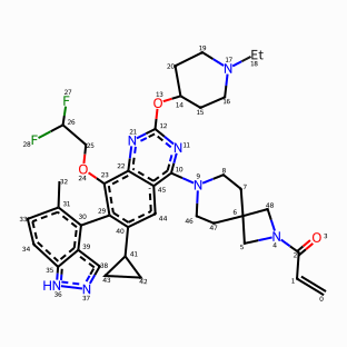 C=CC(=O)N1CC2(CCN(c3nc(OC4CCN(CC)CC4)nc4c(OCC(F)F)c(-c5c(C)ccc6[nH]ncc56)c(C5CC5)cc34)CC2)C1